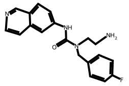 NCCN(Cc1ccc(F)cc1)C(=O)Nc1ccc2cnccc2c1